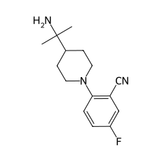 CC(C)(N)C1CCN(c2ccc(F)cc2C#N)CC1